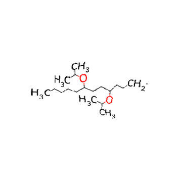 [CH2]CCC(CCC(CCCCC)OC(C)C)OC(C)C